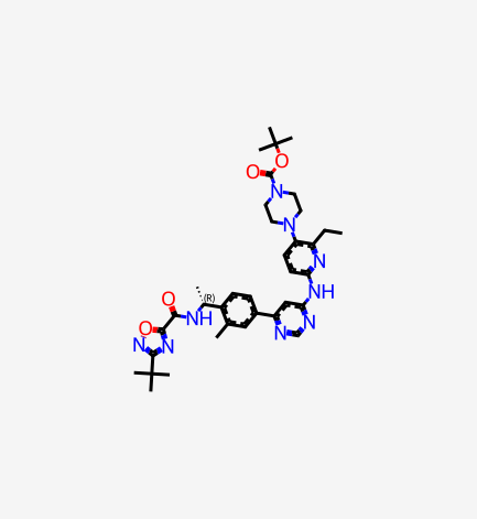 CCc1nc(Nc2cc(-c3ccc([C@@H](C)NC(=O)c4nc(C(C)(C)C)no4)c(C)c3)ncn2)ccc1N1CCN(C(=O)OC(C)(C)C)CC1